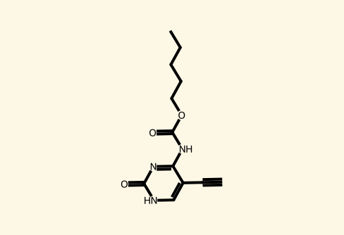 C#Cc1c[nH]c(=O)nc1NC(=O)OCCCCC